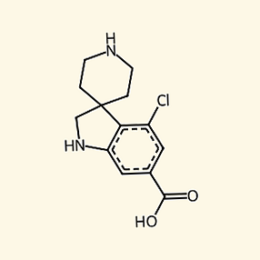 O=C(O)c1cc(Cl)c2c(c1)NCC21CCNCC1